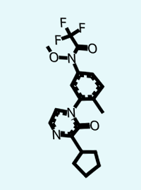 CON(C(=O)C(F)(F)F)c1ccc(C)c(-n2ccnc(C3CCCC3)c2=O)c1